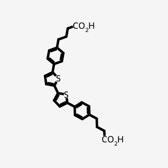 O=C(O)CCCc1ccc(-c2ccc(-c3ccc(-c4ccc(CCCC(=O)O)cc4)s3)s2)cc1